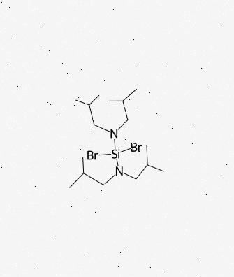 CC(C)CN(CC(C)C)[Si](Br)(Br)N(CC(C)C)CC(C)C